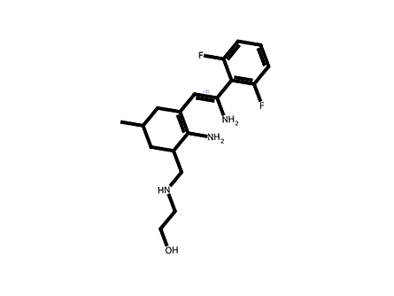 CC1CC(/C=C(\N)c2c(F)cccc2F)=C(N)C(CNCCO)C1